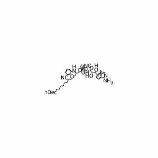 CCCCCCCCCCCCCCCCCCOC[C@H](COP(=O)(O)OC[C@@H](OC#N)[C@@H](O)[C@@H](O)c1ccc2c(N)ncnn12)Nc1cccc(C#N)c1